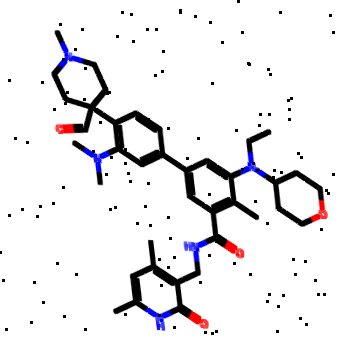 CCN(c1cc(-c2ccc(C3(C=O)CCN(C)CC3)c(N(C)C)c2)cc(C(=O)NCc2c(C)cc(C)[nH]c2=O)c1C)C1CCOCC1